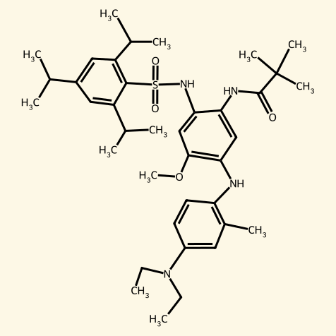 CCN(CC)c1ccc(Nc2cc(NC(=O)C(C)(C)C)c(NS(=O)(=O)c3c(C(C)C)cc(C(C)C)cc3C(C)C)cc2OC)c(C)c1